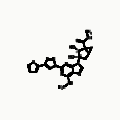 CNC(=O)C12CC1C[C@@](O)(n1cnc3c(NC)nc(-n4cc(-c5ccco5)nn4)nc31)[C@@H]2O